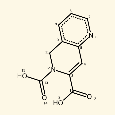 O=C(O)C1=Cc2ncccc2CN1C(=O)O